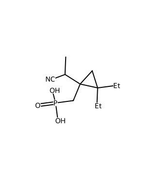 CCC1(CC)CC1(CP(=O)(O)O)C(C)C#N